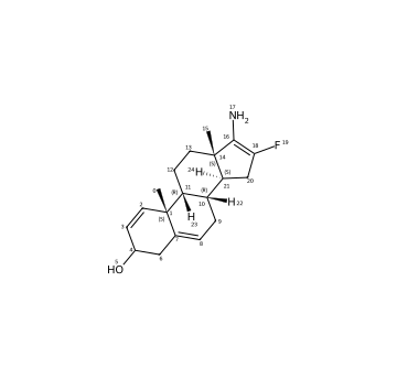 C[C@]12C=CC(O)CC1=CC[C@@H]1[C@H]2CC[C@]2(C)C(N)=C(F)C[C@@H]12